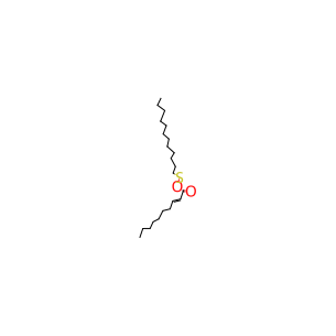 CCCCCCCC=CC(=O)OSCCCCCCCCCCCC